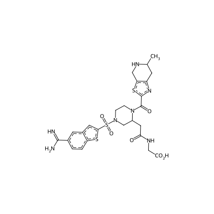 CC1Cc2nc(C(=O)N3CCN(S(=O)(=O)c4cc5cc(C(=N)N)ccc5s4)CC3CC(=O)NCC(=O)O)sc2CN1